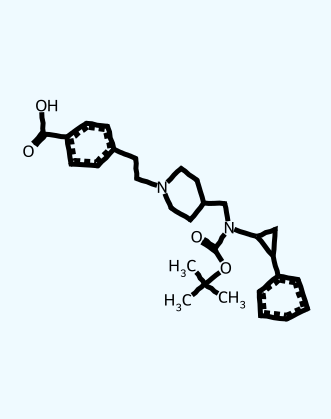 CC(C)(C)OC(=O)N(CC1CCN(CCc2ccc(C(=O)O)cc2)CC1)C1CC1c1ccccc1